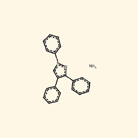 N.c1ccc(-c2cn(-c3ccccc3)nc2-c2ccccc2)cc1